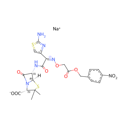 CC1(C)S[C@@H]2[C@@H](NC(=O)/C(=N\OCC(=O)OCc3ccc([N+](=O)[O-])cc3)c3csc(N)n3)C(=O)N2[C@H]1C(=O)[O-].[Na+]